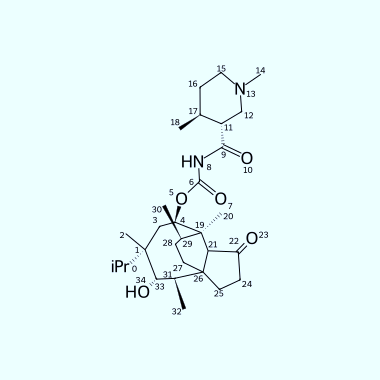 CC(C)[C@]1(C)C[C@@H](OC(=O)NC(=O)[C@H]2CN(C)CC[C@@H]2C)[C@@]2(C)C3C(=O)CCC3(CC[C@H]2C)[C@@H](C)[C@@H]1O